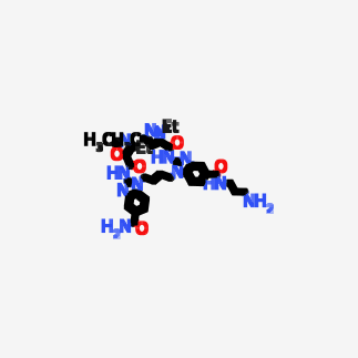 CCc1nc(C)oc1C(=O)Nc1nc2cc(C(N)=O)ccc2n1C/C=C/Cn1c(NC(=O)c2cc(C)nn2CC)nc2cc(C(=O)NCCCN)ccc21